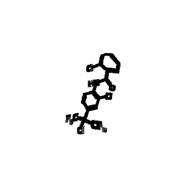 O=C(Nc1ccc(C(Cl)(C(F)(F)F)C(F)(F)F)cc1Cl)c1ccccc1Cl